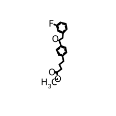 COC(=O)CCCc1ccc(C(=O)Cc2cccc(F)c2)cc1